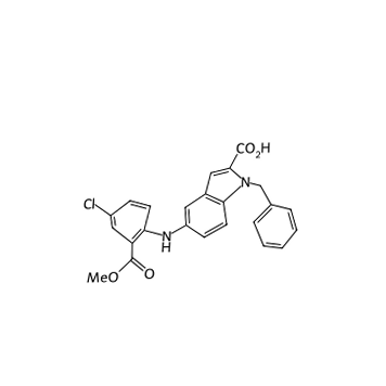 COC(=O)c1cc(Cl)ccc1Nc1ccc2c(c1)cc(C(=O)O)n2Cc1ccccc1